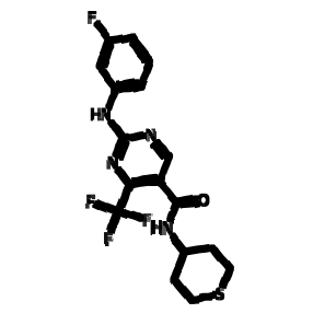 O=C(NC1CCSCC1)c1cnc(Nc2cccc(F)c2)nc1C(F)(F)F